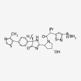 BBc1cc(C(C(=O)N2C[C@H](O)CC2C2=NC(=O)[C@](C)(c3ccc(-c4scnc4C)cc3)N2)C(C)C)sn1